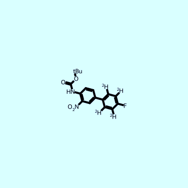 [2H]c1c([2H])c(-c2ccc(NC(=O)OC(C)(C)C)c([N+](=O)[O-])c2)c([2H])c([2H])c1F